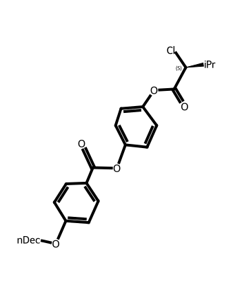 CCCCCCCCCCOc1ccc(C(=O)Oc2ccc(OC(=O)[C@@H](Cl)C(C)C)cc2)cc1